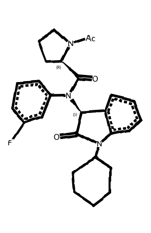 CC(=O)N1CCC[C@@H]1C(=O)N(c1cccc(F)c1)[C@@H]1C(=O)N(C2CCCCC2)c2ccccc21